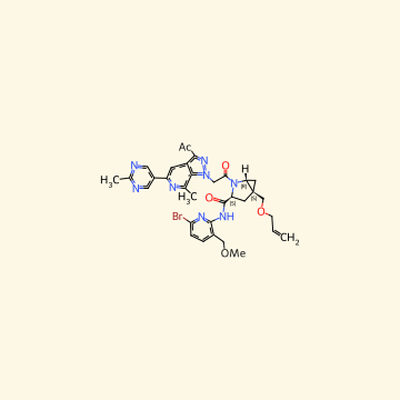 C=CCOC[C@@]12C[C@@H](C(=O)Nc3nc(Br)ccc3COC)N(C(=O)Cn3nc(C(C)=O)c4cc(-c5cnc(C)nc5)nc(C)c43)[C@@H]1C2